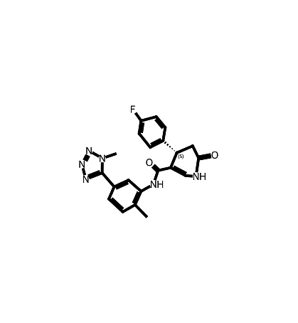 Cc1ccc(-c2nnnn2C)cc1NC(=O)C1=CNC(=O)C[C@H]1c1ccc(F)cc1